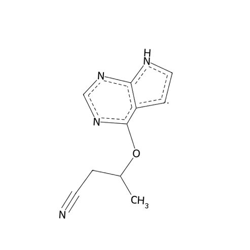 CC(CC#N)Oc1ncnc2[nH]c[c]c12